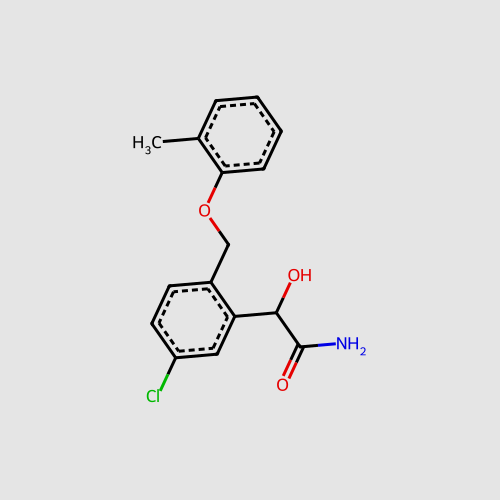 Cc1ccccc1OCc1ccc(Cl)cc1C(O)C(N)=O